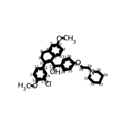 COc1ccc2c(c1)CCC(c1ccc(OC)c(Cl)c1)=C2C(O)c1ccc(OCCN2CCCCC2)cc1